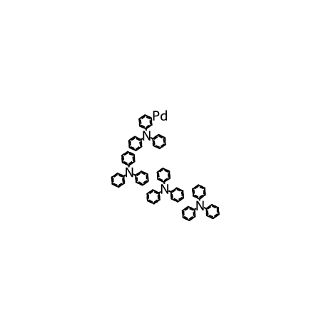 [Pd].c1ccc(N(c2ccccc2)c2ccccc2)cc1.c1ccc(N(c2ccccc2)c2ccccc2)cc1.c1ccc(N(c2ccccc2)c2ccccc2)cc1.c1ccc(N(c2ccccc2)c2ccccc2)cc1